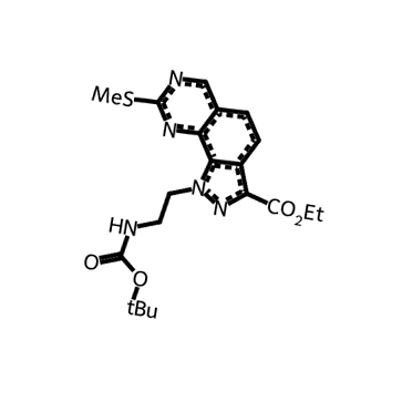 CCOC(=O)c1nn(CCNC(=O)OC(C)(C)C)c2c1ccc1cnc(SC)nc12